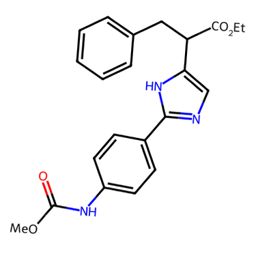 CCOC(=O)C(Cc1ccccc1)c1cnc(-c2ccc(NC(=O)OC)cc2)[nH]1